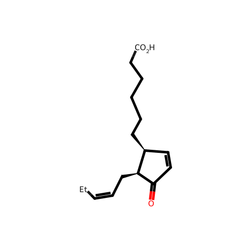 CC/C=C\C[C@@H]1C(=O)C=C[C@@H]1CCCCCC(=O)O